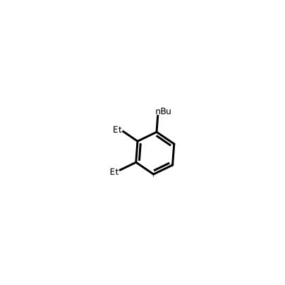 CCCCc1cc[c]c(CC)c1CC